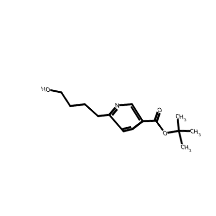 CC(C)(C)OC(=O)c1ccc(CCCCO)nc1